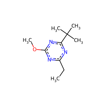 CCc1nc(OC)nc(C(C)(C)C)n1